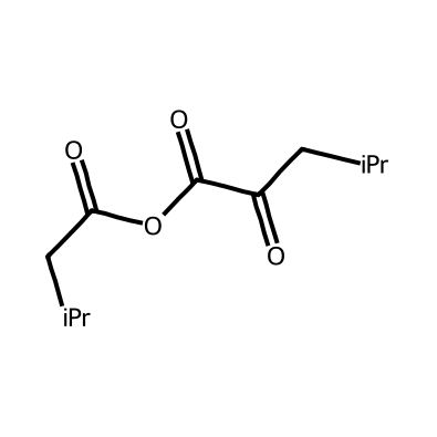 CC(C)CC(=O)OC(=O)C(=O)CC(C)C